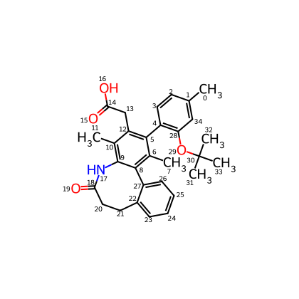 Cc1ccc(-c2c(C)c3c(c(C)c2CC(=O)O)NC(=O)CCc2ccccc2-3)c(OC(C)(C)C)c1